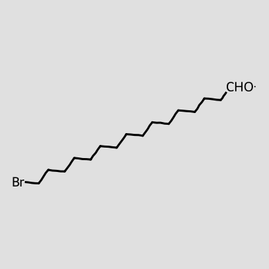 O=[C]CCCCCCCCCCCCCCCBr